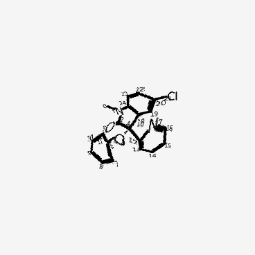 CN1C(=O)[C@](Oc2ccccc2)(c2ccccn2)c2cc(Cl)ccc21